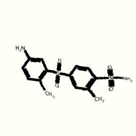 Cc1cc(S(=O)(=O)c2cc(N)ccc2C)ccc1S(N)(=O)=O